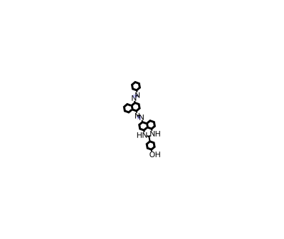 Oc1ccc(C2Nc3cccc4c(/N=N/c5ccc(/N=N/c6ccccc6)c6ccccc56)ccc(c34)N2)cc1